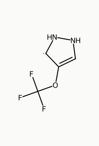 FC(F)(F)OC1=CNN[CH]1